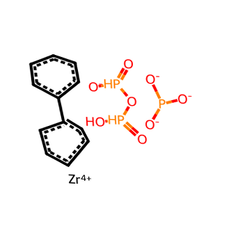 O=[PH]([O-])O[PH](=O)O.[O-]P([O-])[O-].[Zr+4].c1ccc(-c2ccccc2)cc1